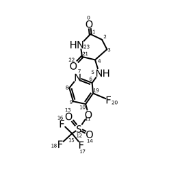 O=C1CCC(Nc2nccc(OS(=O)(=O)C(F)(F)F)c2F)C(=O)N1